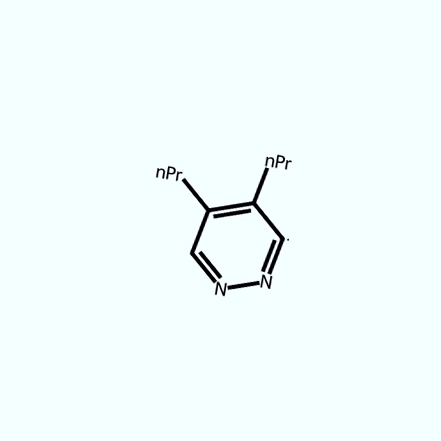 CCCc1[c]nncc1CCC